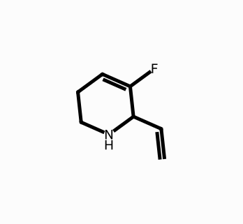 C=CC1NCCC=C1F